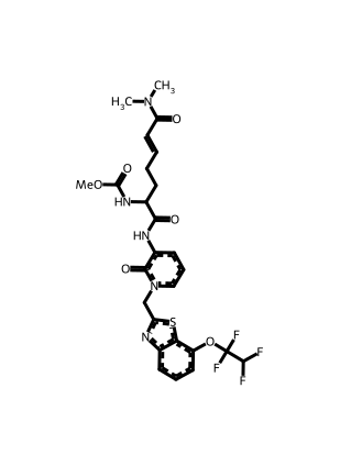 COC(=O)NC(CCC=CC(=O)N(C)C)C(=O)Nc1cccn(Cc2nc3cccc(OC(F)(F)C(F)F)c3s2)c1=O